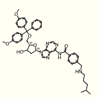 COc1ccc(C(OC[C@H]2O[C@@H](n3cnc4c(NC(=O)c5ccc(CNCCCC(C)C)cc5)ncnc43)CC2O)(c2ccccc2)c2ccc(OC)cc2)cc1